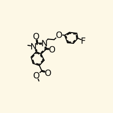 COC(=O)c1ccc2c(c1)c(=O)n(CCOc1ccc(F)cc1)c(=O)n2C